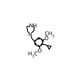 COc1cc(CN2CCNCC2)cc(OC)c1C1CC1